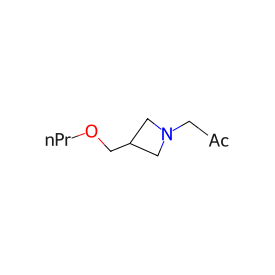 CCCOCC1CN(CC(C)=O)C1